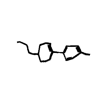 CCCC1CC=C(c2ccc(C)cc2)CC1